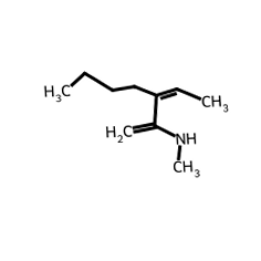 C=C(NC)/C(=C\C)CCCC